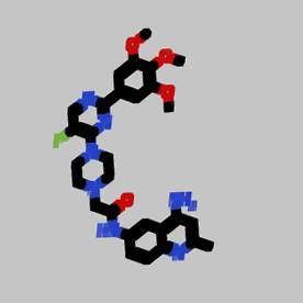 COc1cc(-c2ncc(F)c(N3CCN(CC(=O)Nc4ccc5nc(C)cc(N)c5c4)CC3)n2)cc(OC)c1OC